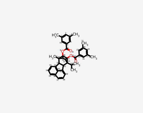 Cc1cc(C)cc(C(=O)OC2C(OC(=O)c3cc(C)cc(C)c3)C3(C(C)C)CCC2(C)C2c4cccc5cccc(c45)C23)c1